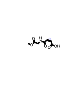 COC(=O)CNC(=O)/C=C\C(=O)O